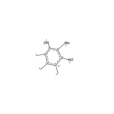 Cc1c(C)c(N=O)c(C(C)(C)C)c(N=O)c1C